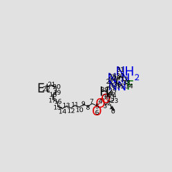 C#C[C@@]1(COC(=O)CCCCCCC/C=C\C/C=C\C/C=C\CC)CC2C(n3cnc4c(N)nc(F)nc43)[C@@H]2O1